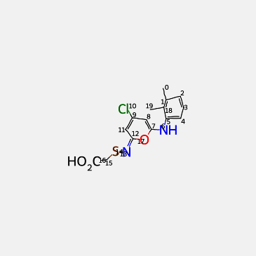 Cc1cccc(Nc2cc(Cl)cc(=NSCC(=O)O)o2)c1C